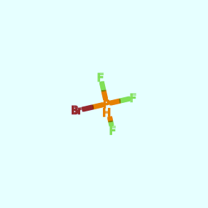 F[PH](F)(F)Br